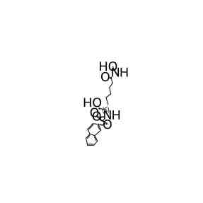 O=C(CCCCC[C@H](NS(=O)(=O)c1ccc2ccccc2c1)C(=O)O)NO